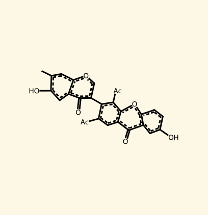 CC(=O)c1cc2c(=O)c3cc(O)ccc3oc2c(C(C)=O)c1-c1coc2cc(C)c(O)cc2c1=O